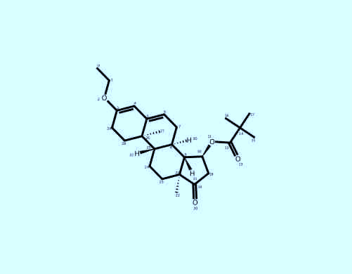 CCOC1=CC2=CC[C@H]3[C@@H]4[C@@H](OC(=O)C(C)(C)C)CC(=O)[C@@]4(C)CC[C@@H]3[C@@]2(C)CC1